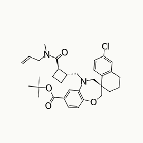 C=CCN(C)C(=O)[C@@H]1CC[C@H]1CN1C[C@@]2(CCCc3cc(Cl)ccc32)COc2ccc(C(=O)OC(C)(C)C)cc21